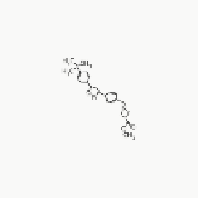 COC(=O)C1CN(Cc2ccc(C3=NOC(c4ccc(C(C)(C)C)cc4)C3)cc2)C1